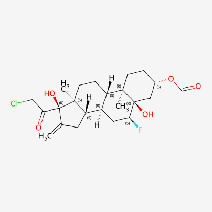 C=C1C[C@H]2[C@@H]3C[C@H](F)[C@@]4(O)C[C@@H](OC=O)CC[C@]4(C)[C@H]3CC[C@]2(C)[C@@]1(O)C(=O)CCl